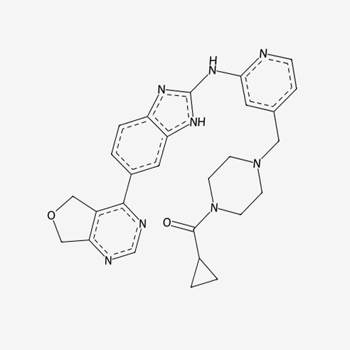 O=C(C1CC1)N1CCN(Cc2ccnc(Nc3nc4ccc(-c5ncnc6c5COC6)cc4[nH]3)c2)CC1